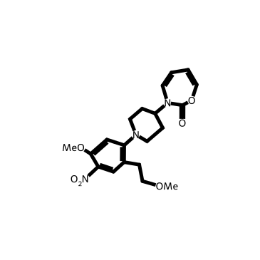 COCCc1cc([N+](=O)[O-])c(OC)cc1N1CCC(N2C=CC=COC2=O)CC1